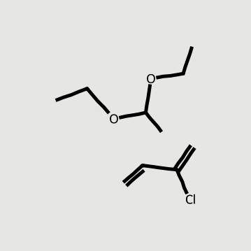 C=CC(=C)Cl.CCOC(C)OCC